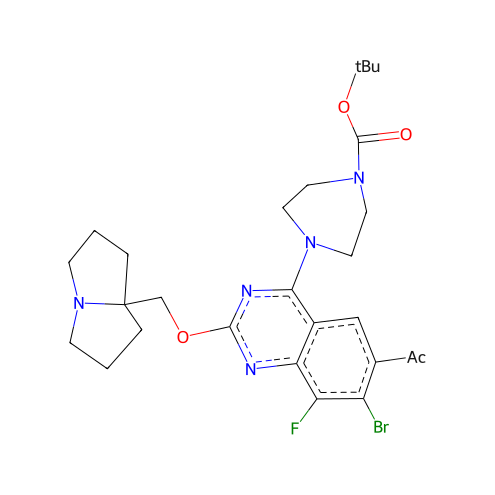 CC(=O)c1cc2c(N3CCN(C(=O)OC(C)(C)C)CC3)nc(OCC34CCCN3CCC4)nc2c(F)c1Br